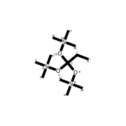 [CH2]CC(O[Si](C)(C)C)(O[Si](C)(C)C)O[Si](C)(C)C